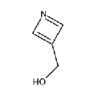 OCC1=CN=C1